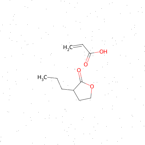 C=CC(=O)O.CCCC1CCOC1=O